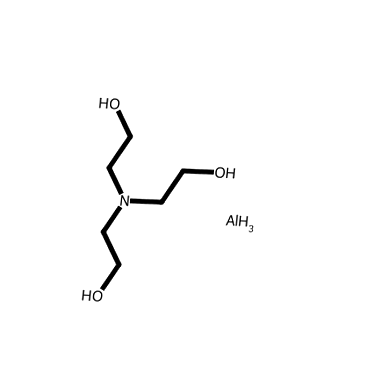 OCCN(CCO)CCO.[AlH3]